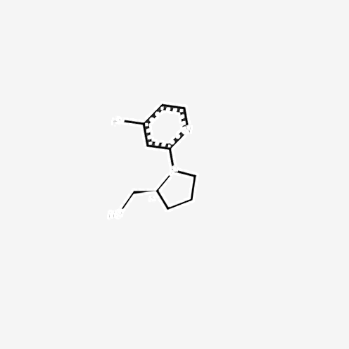 CC(C)c1ccnc(N2CCC[C@H]2CO)c1